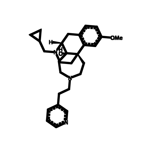 COc1ccc2c(c1)[C@@]13CCN(CCc4cccnc4)CC[C@@]1(O)[C@@H](C2)N(CC1CC1)CC3